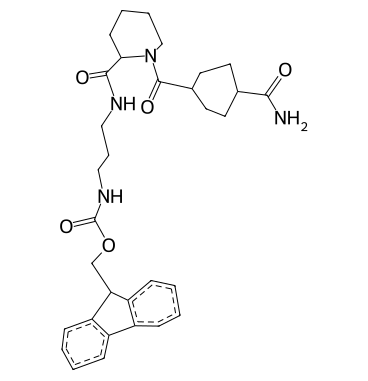 NC(=O)C1CCC(C(=O)N2CCCCC2C(=O)NCCCNC(=O)OCC2c3ccccc3-c3ccccc32)CC1